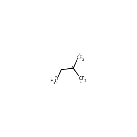 FC(F)(F)CC(C(F)(F)F)C(F)(F)F